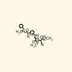 CCNC(=O)C(C#N)=c1sc(=CNc2cccc(NC(=O)CN(C)Cc3ccccc3)n2)c(=O)n1CC